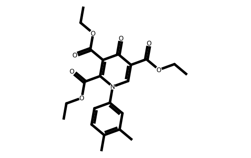 CCOC(=O)c1cn(-c2ccc(C)c(C)c2)c(C(=O)OCC)c(C(=O)OCC)c1=O